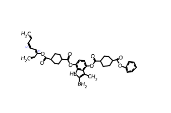 BC1=C(C)c2c(OC(=O)C3CCC(C(=O)Oc4ccccc4)CC3)ccc(OC(=O)C3CCC(C(=O)O/C(C=C)=C/C=C\C=C)CC3)c2B1